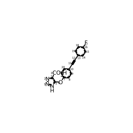 O=C(O)c1nn[nH]c1Oc1ccc(C#Cc2ccc(F)cc2)cc1